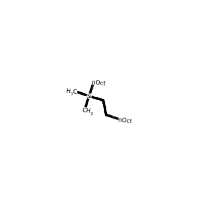 CCCCCCCCCC[Si](C)(C)CCCCCCCC